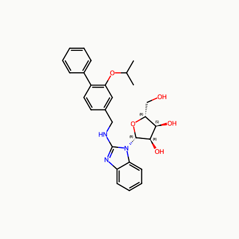 CC(C)Oc1cc(CNc2nc3ccccc3n2[C@@H]2O[C@H](CO)[C@@H](O)[C@H]2O)ccc1-c1ccccc1